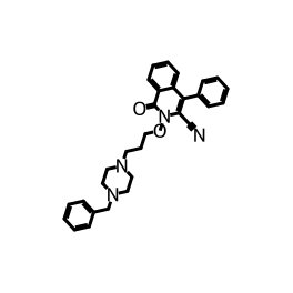 N#Cc1c(-c2ccccc2)c2ccccc2c(=O)n1OCCCN1CCN(Cc2ccccc2)CC1